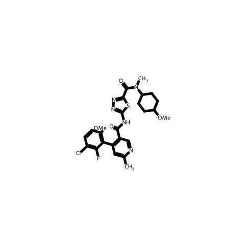 COc1ccc(Cl)c(F)c1-c1cc(C)ncc1C(=O)Nc1nnc(C(=O)N(C)C2CCC(OC)CC2)s1